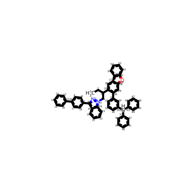 CCC(Cn1nc(-c2ccc(-c3ccccc3)cc2)c2ccccc21)c1cc2c(cc1-c1cccc([SiH](c3ccccc3)c3ccccc3)c1)oc1ccccc12